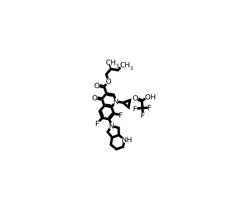 CC[C@H](C)COC(=O)c1cn(C2CC2)c2c(F)c(N3CC4CCCNC4C3)c(F)cc2c1=O.O=C(O)C(F)(F)F